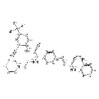 N#Cc1cc(C(F)(F)F)ccc1NC(=O)C(NCCN1CCCCC1)c1ccc(/C=C/C(=O)Nc2ccccc2N)cc1